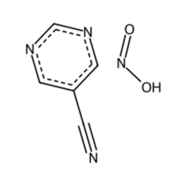 N#Cc1cncnc1.O=NO